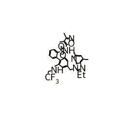 CCc1nc2c(C)cc(C)nc2n1Cc1ccc(-c2ccccc2S(=O)(=O)Nc2onc(C)c2C)c(CNCC(F)(F)F)c1